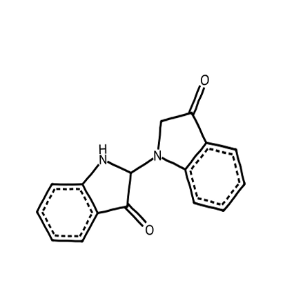 O=C1CN(C2Nc3ccccc3C2=O)c2ccccc21